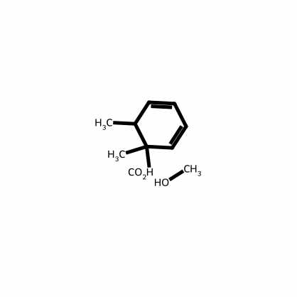 CC1C=CC=CC1(C)C(=O)O.CO